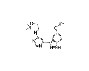 CC(C)Oc1ccc2[nH]nc(-c3cc(N4CCOC(C)(C)C4)ncn3)c2c1